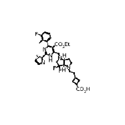 CCOC(=O)C1=C(CN2CC(F)(F)[C@H]3[C@@H]2CCN3CCC2CC(C(=O)O)C2)NC(c2nccs2)=N[C@H]1c1cccc(F)c1C